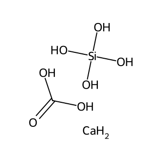 O=C(O)O.O[Si](O)(O)O.[CaH2]